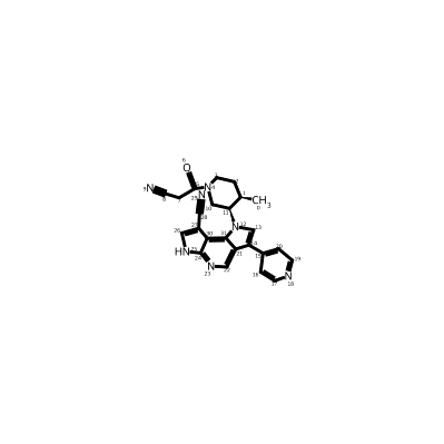 C[C@@H]1CCN(C(=O)CC#N)C[C@@H]1n1cc(-c2ccncc2)c2cnc3[nH]cc(C#N)c3c21